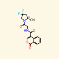 N#C[C@@H]1CC(F)(F)CN1C(=O)CNC(=O)c1coc(=O)c2ccccc12